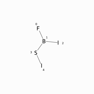 FB(I)SI